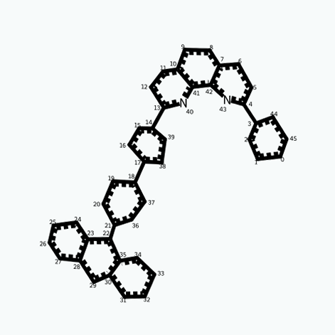 c1ccc(-c2ccc3ccc4ccc(-c5ccc(-c6ccc(-c7c8ccccc8cc8ccccc78)cc6)cc5)nc4c3n2)cc1